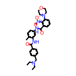 CCN(CC)Cc1ccc(C(=O)Nc2cc(NC(=O)c3cccc(N4CCOCC4)c3[N+](=O)[O-])ccc2C)cc1